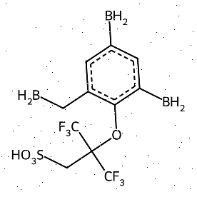 BCc1cc(B)cc(B)c1OC(CS(=O)(=O)O)(C(F)(F)F)C(F)(F)F